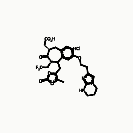 Cc1oc(=O)oc1CC1c2cc(OCCc3cn4c(n3)NCCC4)ccc2C[C@@H](CC(=O)O)C(=O)N1CC(F)(F)F.Cl